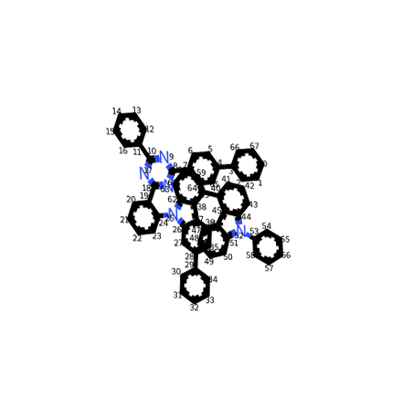 c1ccc(-c2ccc(-c3nc(-c4ccccc4)nc(-c4ccccc4-n4c5cc(-c6ccccc6)ccc5c5c(-c6cccc7c6c6ccccc6n7-c6ccccc6)cccc54)n3)cc2)cc1